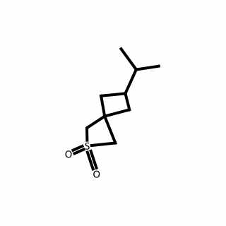 CC(C)C1CC2(C1)CS(=O)(=O)C2